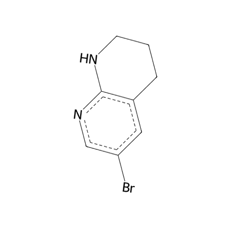 Brc1cnc2c(c1)CCCN2